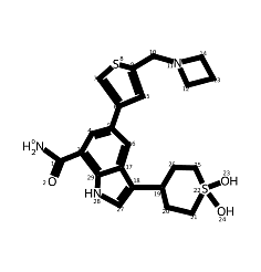 NC(=O)c1cc(-c2csc(CN3CCC3)c2)cc2c(C3CCS(O)(O)CC3)c[nH]c12